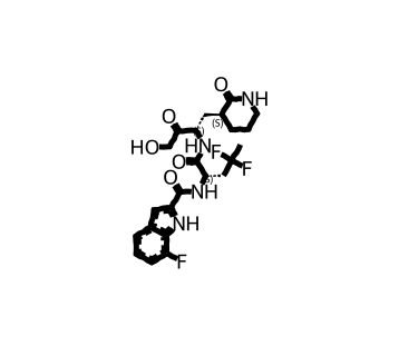 CC(F)(F)C[C@H](NC(=O)c1cc2cccc(F)c2[nH]1)C(=O)N[C@@H](C[C@@H]1CCCNC1=O)C(=O)CO